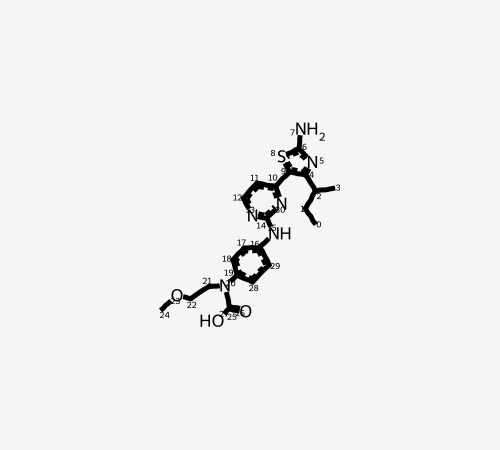 CCC(C)c1nc(N)sc1-c1ccnc(Nc2ccc(N(CCOC)C(=O)O)cc2)n1